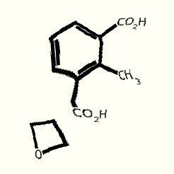 C1COC1.Cc1c(C(=O)O)cccc1C(=O)O